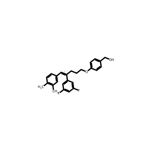 Cc1ccc(/C=C(/CCCOc2ccc(CO)cc2)c2cc(F)cc(F)c2)cc1C